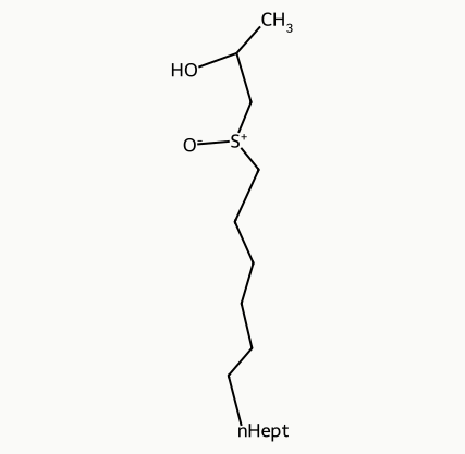 CCCCCCCCCCCCC[S+]([O-])CC(C)O